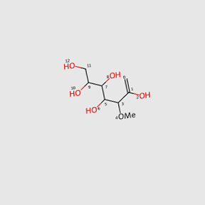 C=C(O)C(OC)C(O)C(O)C(O)CO